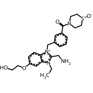 CCn1c(CN)[n+](Cc2cccc(C(=O)N3CC[S+]([O-])CC3)c2)c2ccc(OCCO)cc21